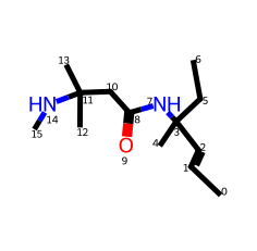 CC=CC(C)(CC)NC(=O)CC(C)(C)NC